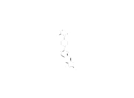 CC(C)(C)N(C(=O)O)C1CCN(c2nccc(C=C3SC(=O)NC3=O)n2)CC1